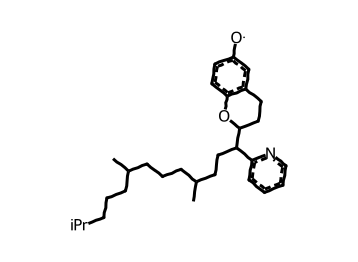 CC(C)CCCC(C)CCCC(C)CCC(c1ccccn1)C1CCc2cc([O])ccc2O1